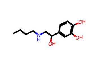 CCCCNCC(O)c1ccc(O)c(O)c1